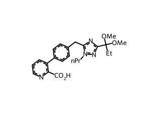 CCCn1nc(C(CC)(OC)OC)nc1Cc1ccc(-c2cccnc2C(=O)O)cc1